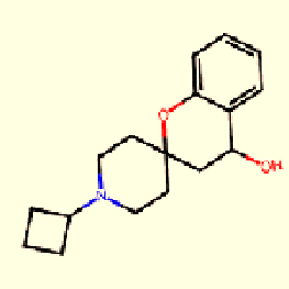 OC1CC2(CCN(C3CCC3)CC2)Oc2ccccc21